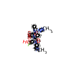 CN1CCN(C[C@@H]2Cc3ccccc3CN2C(=O)c2cc3c(cc2-n2cc(C(=O)N(c4ccc(O)c(F)c4)c4ccc5c(ccn5C)c4)c4ccccc42)OCO3)CC1